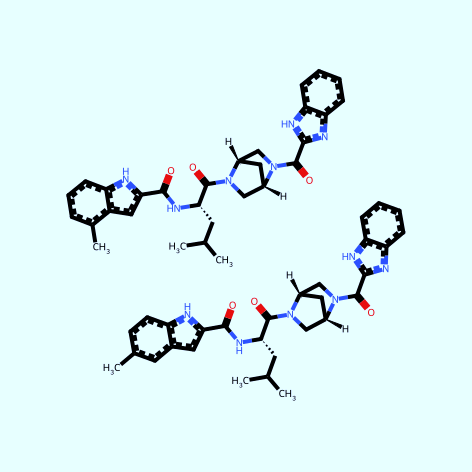 Cc1ccc2[nH]c(C(=O)N[C@@H](CC(C)C)C(=O)N3C[C@@H]4C[C@H]3CN4C(=O)c3nc4ccccc4[nH]3)cc2c1.Cc1cccc2[nH]c(C(=O)N[C@@H](CC(C)C)C(=O)N3C[C@@H]4C[C@H]3CN4C(=O)c3nc4ccccc4[nH]3)cc12